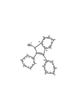 CC(C)(C)C1C(c2ccccc2)=C(c2ccccc2)c2ccccc21